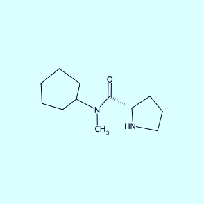 CN(C(=O)[C@@H]1CCCN1)C1CCCCC1